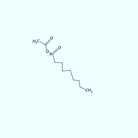 CCCCCCC[CH2][Sn](=[O])[O]C(C)=O